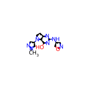 Cn1cc(-n2ccc3nc(Nc4cnoc4)nc(O)c32)cn1